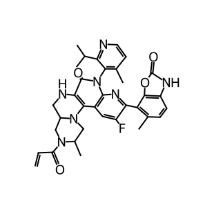 C=CC(=O)N1CC2CNc3c(c4cc(F)c(-c5c(C)ccc6[nH]c(=O)oc56)nc4n(-c4c(C)ccnc4C(C)C)c3=O)N2CC1C